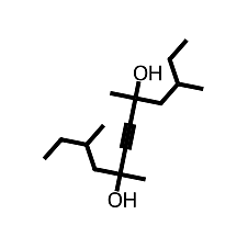 CCC(C)CC(C)(O)C#CC(C)(O)CC(C)CC